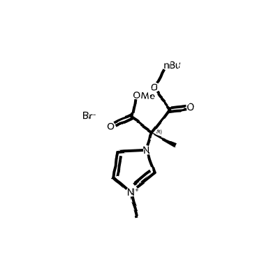 CCCCOC(=O)[C@@](C)(C(=O)OC)n1cc[n+](C)c1.[Br-]